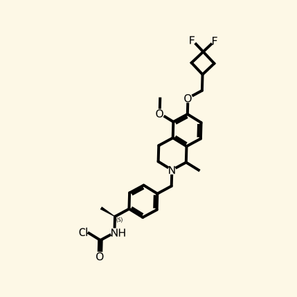 COc1c(OCC2CC(F)(F)C2)ccc2c1CCN(Cc1ccc([C@H](C)NC(=O)Cl)cc1)C2C